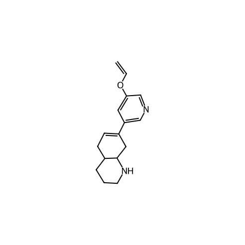 C=COc1cncc(C2=CCC3CCCNC3C2)c1